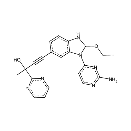 CCOC1Nc2ccc(C#CC(C)(O)c3ncccn3)cc2N1c1ccnc(N)n1